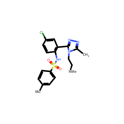 CNCCn1c(C)nnc1-c1cc(Cl)ccc1NS(=O)(=O)c1ccc(C(C)(C)C)cc1